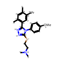 COc1ccc(-n2c(SCCN(C)C)nnc2-c2cc(C(C)C)c(C)cc2C)cc1